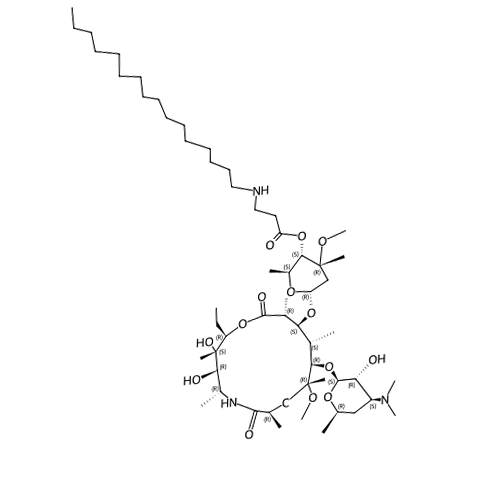 CCCCCCCCCCCCCCCCNCCC(=O)O[C@H]1[C@H](C)O[C@@H](O[C@H]2[C@H](C)[C@@H](O[C@@H]3O[C@H](C)C[C@H](N(C)C)[C@H]3O)[C@](C)(OC)C[C@@H](C)C(=O)N[C@H](C)[C@@H](O)[C@](C)(O)[C@@H](CC)OC(=O)[C@@H]2C)C[C@@]1(C)OC